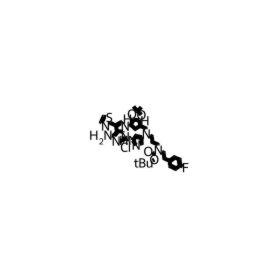 CC(C)(C)OC(=O)N(CCCN(CC1C[C@@H](n2cc(-c3nccs3)c3c(N)nc(Cl)nc32)[C@@H]2OC(C)(C)O[C@H]12)c1cn[nH]c1)CCc1ccc(F)cc1